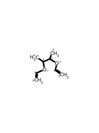 C=COC(C)C(C)OC=C